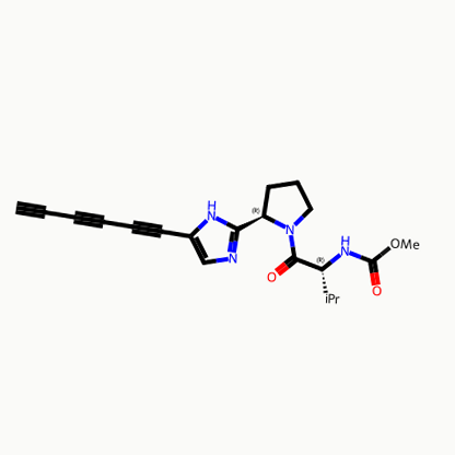 C#CC#CC#Cc1cnc([C@H]2CCCN2C(=O)[C@H](NC(=O)OC)C(C)C)[nH]1